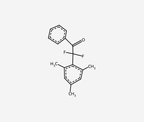 Cc1cc(C)c(C(F)(F)C(=O)c2ccccc2)c(C)c1